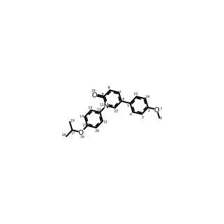 COc1ccc(-c2ccc(=O)n(-c3ccc(OC(C)C)cc3)c2)cc1